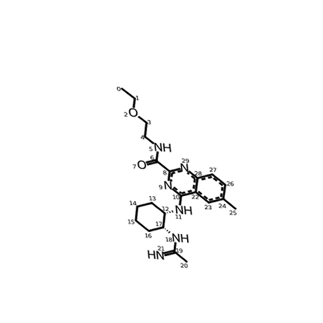 CCOCCNC(=O)c1nc(N[C@H]2CCCC[C@H]2NC(C)=N)c2cc(C)ccc2n1